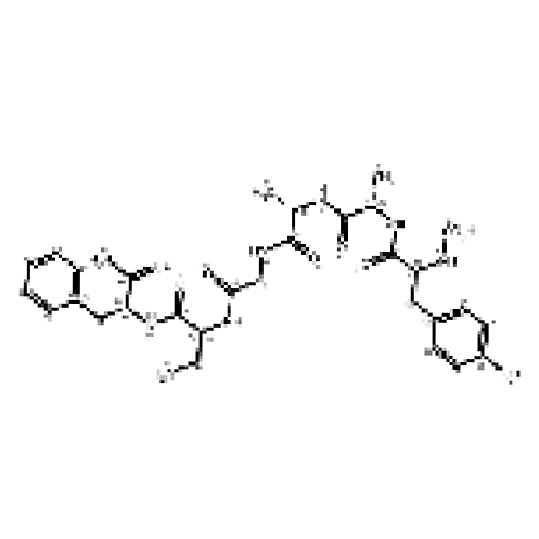 C[C@H](NC(=O)[C@H](C)NC(=O)[C@H](Cc1ccc(O)cc1)NC(=O)O)C(=O)NCC(=O)N[C@@H](CN)C(=O)N[C@@H](Cc1ccccc1)C(N)=O